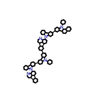 c1ccc(-n2c3ccc(-c4ccc5c(c4)-c4ccc(-n6c7ccccc7c7cc(-c8ccc9c(c8)c8ccc%10ccccc%10c8n9-c8ccccc8)ccc76)c6nccc-5c46)cc3c3cc(-c4ccc5c6ccccc6n(-c6ccc7c8c(ccnc68)-c6ccccc6-7)c5c4)ccc32)cc1